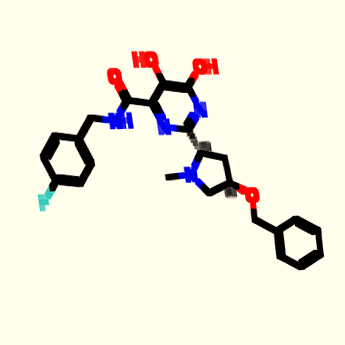 CN1C[C@H](OCc2ccccc2)C[C@H]1c1nc(O)c(O)c(C(=O)NCc2ccc(F)cc2)n1